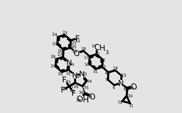 Cc1cc(C2CCN(C(=O)C3CC3)CC2)ccc1COc1c(F)cccc1-c1cccc(N2N=C[C@@H](C(=O)O)C2C(F)(F)F)n1